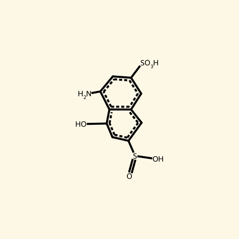 Nc1cc(S(=O)(=O)O)cc2cc(S(=O)O)cc(O)c12